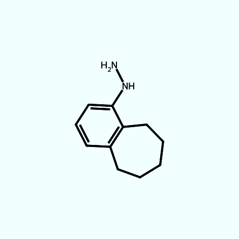 NNc1cccc2c1CCCCC2